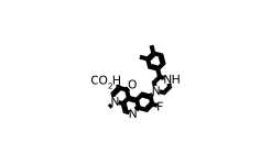 Cc1ccc(C2CN(c3cc4c(cc3F)ncc3c4c(=O)c(C(=O)O)cn3C)CCN2)cc1C